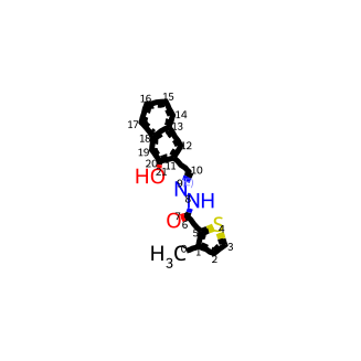 Cc1ccsc1C(=O)N/N=C/c1cc2ccccc2cc1O